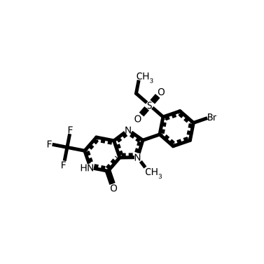 CCS(=O)(=O)c1cc(Br)ccc1-c1nc2cc(C(F)(F)F)[nH]c(=O)c2n1C